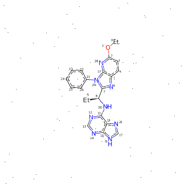 CCOc1ccc2nc([C@H](CC)Nc3ncnc4[nH]cnc34)n(-c3ccccc3)c2n1